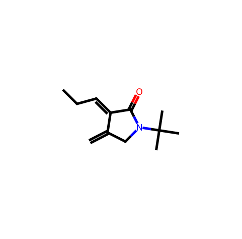 C=C1CN(C(C)(C)C)C(=O)/C1=C/CC